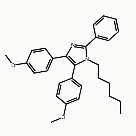 CCCCCCn1c(-c2ccccc2)nc(-c2ccc(OC)cc2)c1-c1ccc(OC)cc1